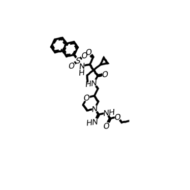 CCOC(=O)NC(=N)N1CCOC(CNC(=O)C(CC)(C2CC2)C(C=O)NS(=O)(=O)c2ccc3ccccc3c2)C1